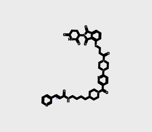 O=C(/C=C/c1cccnc1)NCCCCC1CCN(C(=O)c2ccc(N3CCN(C(=O)CCSc4cccc5c4C(=O)N(C4CCC(=O)NC4=O)C5=O)CC3)nc2)CC1